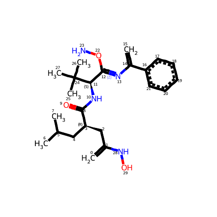 C=C(C[C@@H](CC(C)C)C(=O)N[C@H](/C(=N/C(=C)c1ccccc1)ON)C(C)(C)C)NO